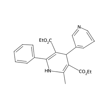 CCOC(=O)C1=C(C)NC(c2ccccc2)=C(C(=O)OCC)C1c1cccnc1